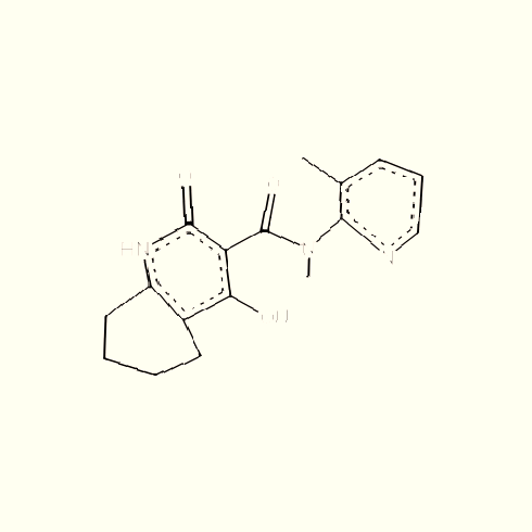 Cc1cccnc1N(I)C(=O)c1c(O)c2c([nH]c1=O)CCCC2